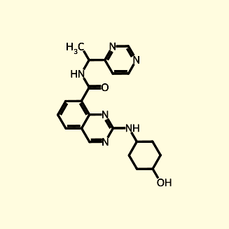 CC(NC(=O)c1cccc2cnc(NC3CCC(O)CC3)nc12)c1ccncn1